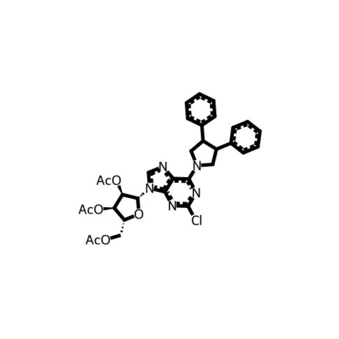 CC(=O)OC[C@H]1O[C@@H](n2cnc3c(N4CC(c5ccccc5)C(c5ccccc5)C4)nc(Cl)nc32)[C@H](OC(C)=O)[C@@H]1OC(C)=O